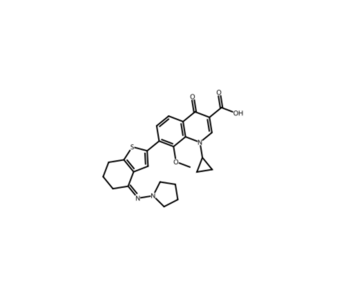 COc1c(-c2cc3c(s2)CCC/C3=N/N2CCCC2)ccc2c(=O)c(C(=O)O)cn(C3CC3)c12